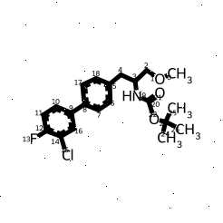 COCC(Cc1ccc(-c2ccc(F)c(Cl)c2)cc1)NC(=O)OC(C)(C)C